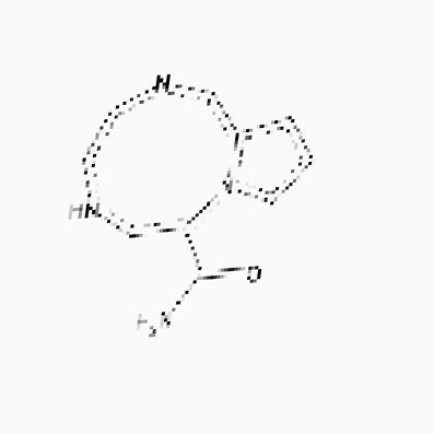 NC(=O)c1c[nH]ccncc2cccn12